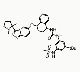 CN1CCCC1(C)c1nnc2ccc(O[C@@H]3CC[C@H](NC(=O)Nc4cc(NS(C)(=O)=O)cc(C(C)(C)C)c4)c4ccccc43)cn12